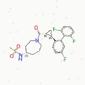 CS(=O)(=O)N[C@H]1CCCN(C(=O)[C@@H]2C[C@H]2c2ccc(F)cc2-c2c(F)cccc2F)CC1